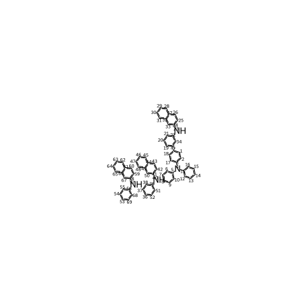 c1ccc(N(c2ccccc2)c2ccccc2)cc1.c1ccc(Nc2ccc3ccccc3c2)cc1.c1ccc(Nc2ccc3ccccc3c2)cc1.c1ccc(Nc2ccc3ccccc3c2)cc1